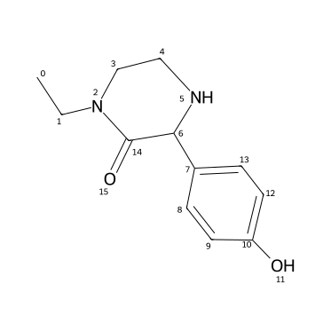 CCN1CCNC(c2ccc(O)cc2)C1=O